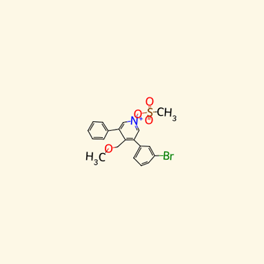 COCc1c(-c2ccccc2)c[n+](OS(C)(=O)=O)cc1-c1cccc(Br)c1